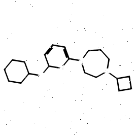 [C]1=C(N2CCCN(C3CCC3)CC2)NC(OC2CCCCC2)C=C1